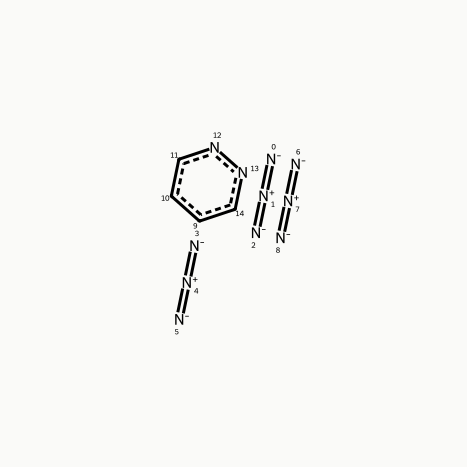 [N-]=[N+]=[N-].[N-]=[N+]=[N-].[N-]=[N+]=[N-].c1ccnnc1